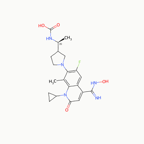 Cc1c(N2CCC([C@H](C)NC(=O)O)C2)c(F)cc2c(C(=N)NO)cc(=O)n(C3CC3)c12